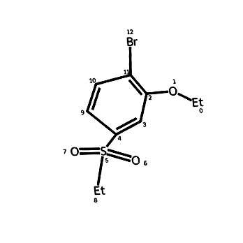 CCOc1cc(S(=O)(=O)CC)ccc1Br